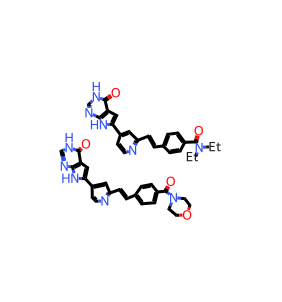 CCN(CC)C(=O)c1ccc(C=Cc2cc(-c3cc4c(=O)[nH]cnc4[nH]3)ccn2)cc1.O=C(c1ccc(C=Cc2cc(-c3cc4c(=O)[nH]cnc4[nH]3)ccn2)cc1)N1CCOCC1